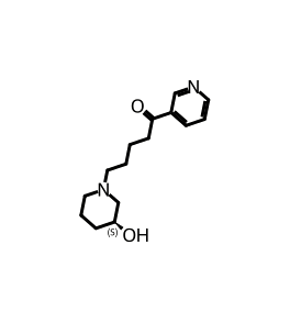 O=C(CCCCN1CCC[C@H](O)C1)c1cccnc1